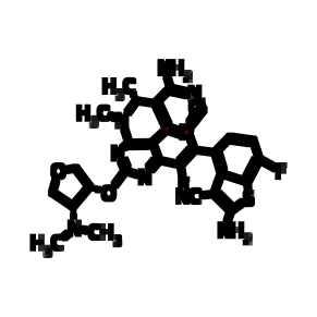 C[C@H](c1cncnc1N)N(C)c1nc(O[C@H]2COC[C@H]2N(C)C)nc2c(F)c(-c3ccc(F)c4sc(N)c(C#N)c34)c(Cl)cc12